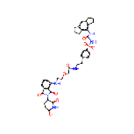 O=C(COCCNc1cccc2c1C(=O)N(C1CCC(=O)NC1=O)C2=O)NCCc1ccc(S(=O)(=O)NC(=O)Nc2c3c(cc4c2CCC4)CCC3)cc1